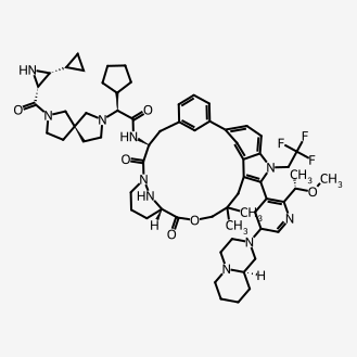 CO[C@@H](C)C1=C(c2c3c4cc(ccc4n2CC(F)(F)F)-c2cccc(c2)C[C@H](NC(=O)[C@H](C2CCCC2)N2CC[C@]4(CCN(C(=O)[C@@H]5N[C@@H]5C5CC5)C4)C2)C(=O)N2CCC[C@H](N2)C(=O)OCC(C)(C)C3)CC(N2CCN3CCCC[C@@H]3C2)C=N1